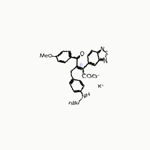 CCCCNc1ccc(C/C(C(=O)c2ccc(OC)cc2)=C(\C(=O)[O-])c2ccc3nsnc3c2)cc1.[K+]